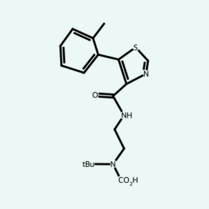 Cc1ccccc1-c1scnc1C(=O)NCCN(C(=O)O)C(C)(C)C